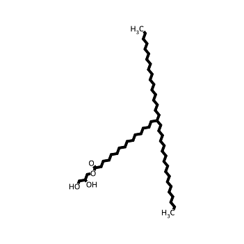 CCCCCCCCCCCCCCCCCCC(CCCCCCCCCCCCCCCCCC)CCCCCCCCCCCCCCC(=O)OCC(O)CO